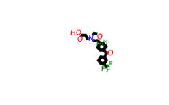 Cl.O=C(O)CCN1CCOC(c2ccc(C(=O)c3cccc(C(F)(F)F)c3)cc2)C1